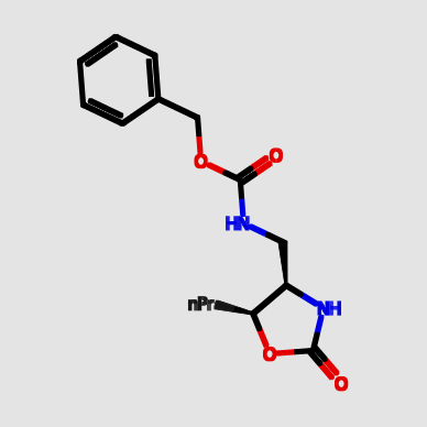 CCC[C@@H]1OC(=O)N[C@@H]1CNC(=O)OCc1ccccc1